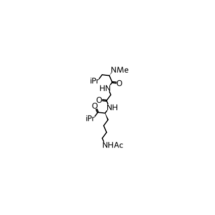 CN[C@@H](CC(C)C)C(=O)NCC(=O)N[C@@H](CCCCNC(C)=O)C(=O)C(C)C